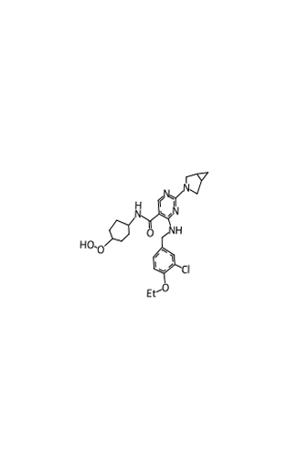 CCOc1ccc(CNc2nc(N3CC4CC4C3)ncc2C(=O)NC2CCC(OO)CC2)cc1Cl